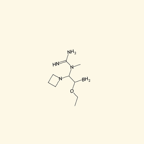 BC(OCC)C(N1CCC1)N(C)C(=N)N